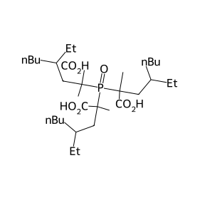 CCCCC(CC)CC(C)(C(=O)O)P(=O)(C(C)(CC(CC)CCCC)C(=O)O)C(C)(CC(CC)CCCC)C(=O)O